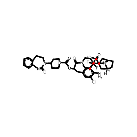 Nc1c(Cl)cc(CC(OC(=O)N2CCC(N3CCc4ccccc4NC3=O)CC2)C(=O)N2CCN(C3CC4CC[C@H](C3)N4CC(=O)O)CC2)cc1C(F)(F)F